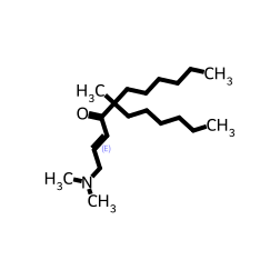 CCCCCCC(C)(CCCCCC)C(=O)/C=C/CN(C)C